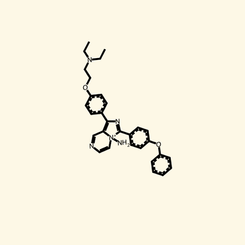 CCN(CC)CCOc1ccc(C2=C3C=NC=C[N+]3(N)C(c3ccc(Oc4ccccc4)cc3)=N2)cc1